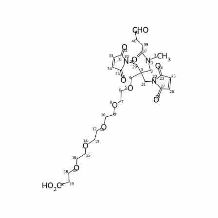 CN(CC(COCCOCCOCCOCCOCCC(=O)O)(CN1C(=O)C=CC1=O)CN1C(=O)C=CC1=O)C(=O)CCC=O